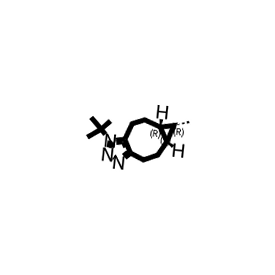 C[C@H]1[C@H]2CCc3c(nnn3C(C)(C)C)CC[C@@H]12